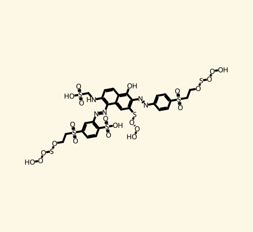 O=S(=O)(O)CNc1ccc2c(O)c(/N=N/c3ccc(S(=O)(=O)CCOSOOO)cc3)c(SOOO)cc2c1/N=N/c1cc(S(=O)(=O)CCOSOOO)ccc1S(=O)(=O)O